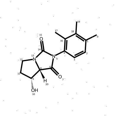 Cc1ccc(N2C(=O)[C@@H]3[C@H](O)CCN3C2=O)c(C)c1C